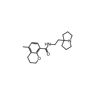 Cc1ccc(C(=O)NCCC23CCCN2CCC3)c2c1CCCO2